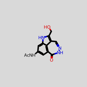 CC(=O)Nc1cc2c3c(c(CO)[nH]c3c1)C=NNC2=O